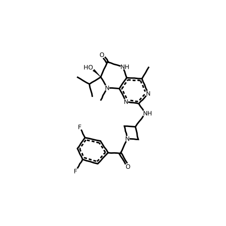 Cc1nc(NC2CN(C(=O)c3cc(F)cc(F)c3)C2)nc2c1NC(=O)[C@@](O)(C(C)C)N2C